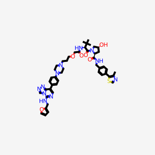 Cc1ncsc1-c1ccc(CNC(=O)[C@@H]2C[C@@H](O)CN2C(=O)[C@@H](NC(=O)COCCCN2CCN(c3ccc(-c4cnc(NCc5ccco5)n5cnnc45)cc3)CC2)C(C)(C)C)cc1